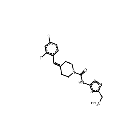 O=C(O)Cc1nsc(NC(=O)N2CCC(=Cc3ccc(Cl)cc3F)CC2)n1